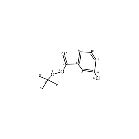 CC(C)(C)OOC(=O)c1cccc(Cl)c1